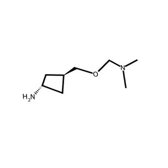 CN(C)COC[C@H]1C[C@H](N)C1